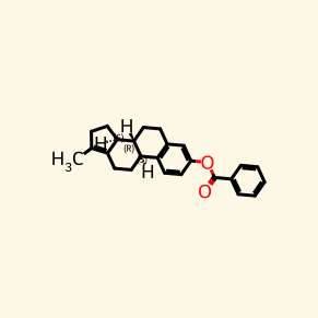 CC1=C2CC[C@@H]3c4ccc(OC(=O)c5ccccc5)cc4CC[C@H]3[C@@H]2CC1